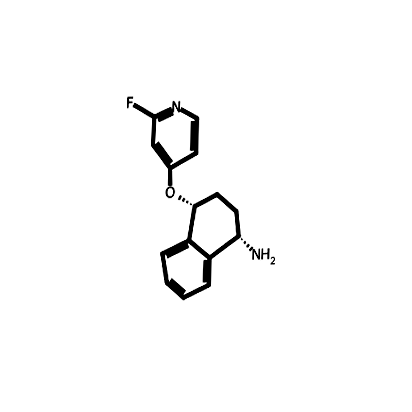 N[C@H]1CC[C@@H](Oc2ccnc(F)c2)c2ccccc21